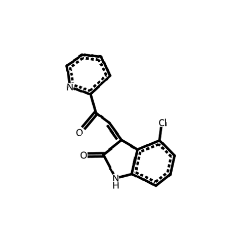 O=C1Nc2cccc(Cl)c2C1=CC(=O)c1ccccn1